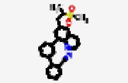 CC(Cc1cc(-c2cccc(-c3ccccc3C#N)c2)c2ncccc2c1)S(C)(=O)=O